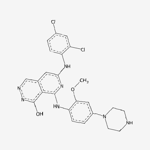 COc1cc(N2CCNCC2)ccc1Nc1nc(Nc2ccc(Cl)cc2Cl)cc2cnnc(O)c12